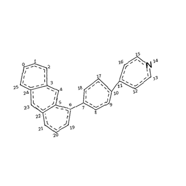 c1ccc2cc3c(-c4ccc(-c5ccncc5)cc4)cccc3cc2c1